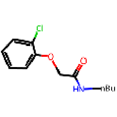 CCCCNC(=O)COc1ccccc1Cl